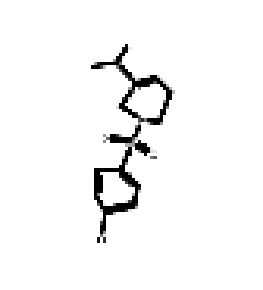 CC(C)C1=CCCN(S(=O)(=O)c2ccc(Cl)cc2)C1